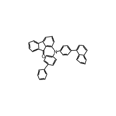 O=C1c2ccccc2-c2cccc(N(c3ccc(-c4ccccc4)cc3)c3ccc(-c4cccc5ccccc45)cc3)c21